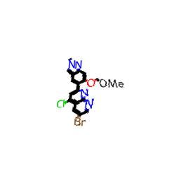 COCOc1cc2nn(C)cc2cc1-c1cc(Cl)c2cc(Br)cnc2n1